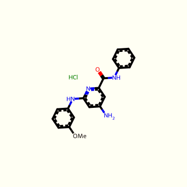 COc1cccc(Nc2cc(N)cc(C(=O)Nc3ccccc3)n2)c1.Cl